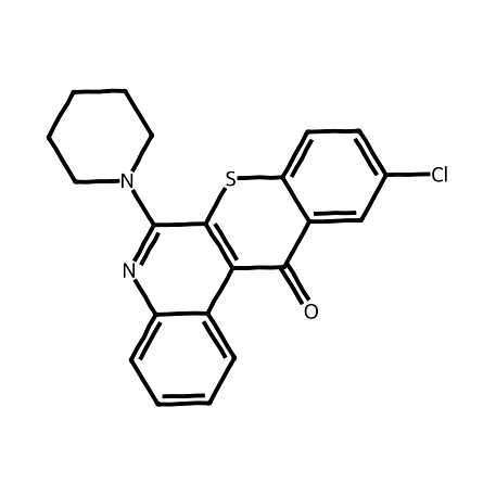 O=c1c2cc(Cl)ccc2sc2c(N3CCCCC3)nc3ccccc3c12